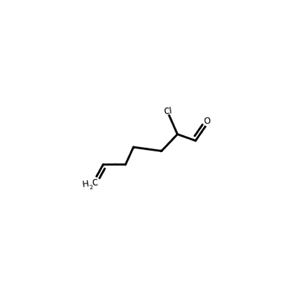 C=CCCCC(Cl)C=O